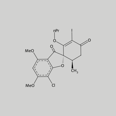 CCCOC1=C(I)C(=O)C[C@@H](C)[C@]12Oc1c(Cl)c(OC)cc(OC)c1C2=O